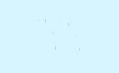 CC(C(=O)O)c1csc(N)n1.Cl